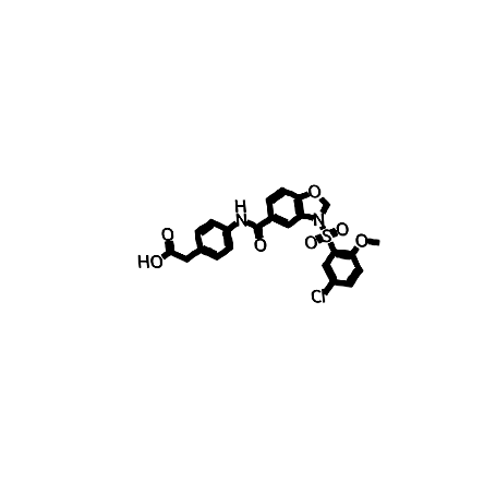 COc1ccc(Cl)cc1S(=O)(=O)N1COc2ccc(C(=O)Nc3ccc(CC(=O)O)cc3)cc21